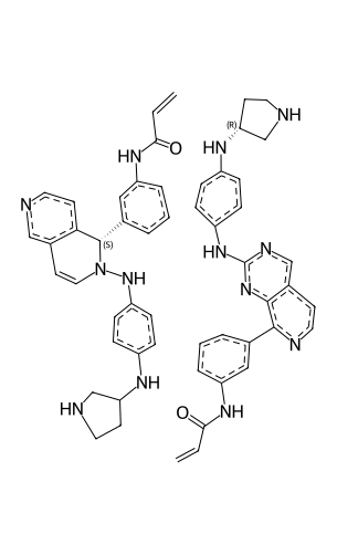 C=CC(=O)Nc1cccc(-c2nccc3cnc(Nc4ccc(N[C@@H]5CCNC5)cc4)nc23)c1.C=CC(=O)Nc1cccc([C@H]2c3ccncc3C=CN2Nc2ccc(NC3CCNC3)cc2)c1